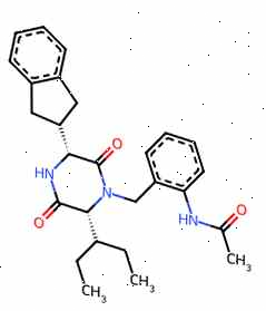 CCC(CC)[C@@H]1C(=O)N[C@H](C2Cc3ccccc3C2)C(=O)N1Cc1ccccc1NC(C)=O